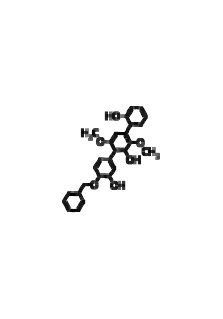 COc1cc(-c2ccccc2O)c(OC)c(O)c1-c1ccc(OCc2ccccc2)c(O)c1